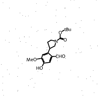 COc1cc(C2CCN(C(=O)OC(C)(C)C)C2)c(C=O)cc1O